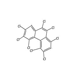 Clc1[c]c2c(Cl)c(Cl)c3c(Cl)[c]c(Cl)c(Cl)c3c2c(Cl)c1Cl